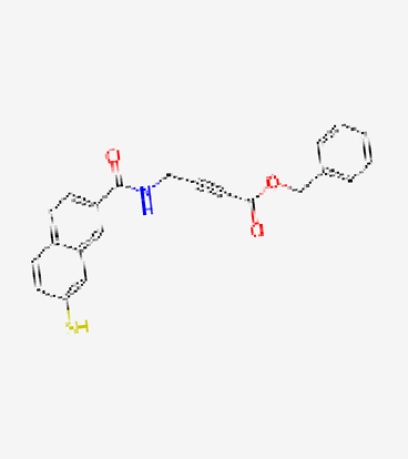 O=C(C#CCNC(=O)c1ccc2ccc(S)cc2c1)OCc1ccccc1